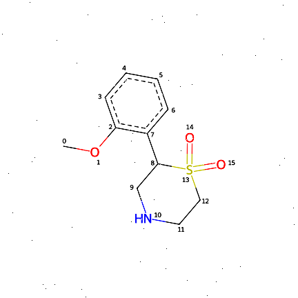 COc1ccccc1C1CNCCS1(=O)=O